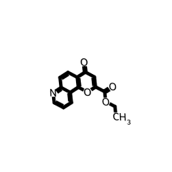 CCOC(=O)c1cc(=O)c2ccc3ncccc3c2o1